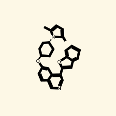 Cc1ccc(C)n1[C@H]1CC[C@H](Oc2ccc3cncc(-c4cc5ccccc5o4)c3c2)CC1